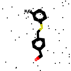 Cc1cccc(SCc2ccc(C=O)cc2)c1